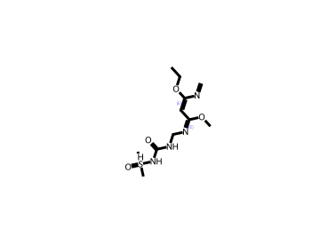 C=N/C(=C\C(=N/CNC(=O)N[SH](C)(C)=O)OC)OCC